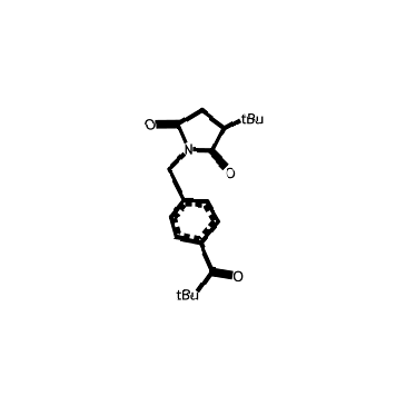 CC(C)(C)C(=O)c1ccc(CN2C(=O)CC(C(C)(C)C)C2=O)cc1